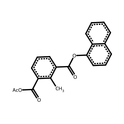 CC(=O)OC(=O)c1cccc(C(=O)Oc2cccc3ccccc23)c1C